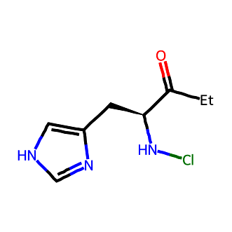 CCC(=O)[C@H](Cc1c[nH]cn1)NCl